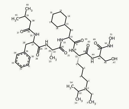 CCN(CCCC[C@H](NC(=O)C(CC1CCCCC1)NC(=O)[C@H](C)NC(=O)C(Cc1ccccc1)NC(=O)CC(C)C)C(=O)NC(CO)C(=O)NO)C(C)C